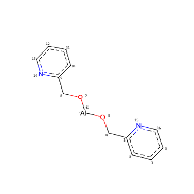 c1ccc(C[O][Al][O]Cc2ccccn2)nc1